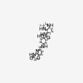 CC1CNc2cccc(NC(=O)[C@]3(O)CC[C@@H](NCc4ccc5c(n4)NC(=O)CO5)CC3)c2N1